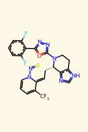 Fc1cccc(F)c1-c1nnc(N2CCc3[nH]cnc3[C@@H]2C/C=C2/C(C(F)(F)F)=CC=CN2N=S)o1